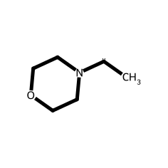 C[C]N1CCOCC1